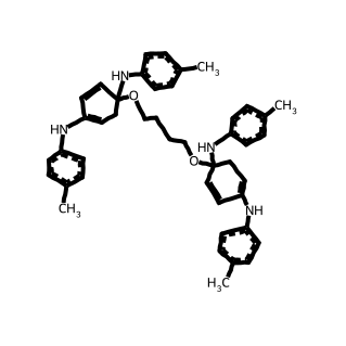 Cc1ccc(NC2=CCC(Nc3ccc(C)cc3)(OCCCCOC3(Nc4ccc(C)cc4)C=CC(Nc4ccc(C)cc4)=CC3)C=C2)cc1